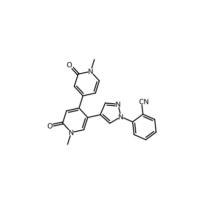 Cn1ccc(-c2cc(=O)n(C)cc2-c2cnn(-c3ccccc3C#N)c2)cc1=O